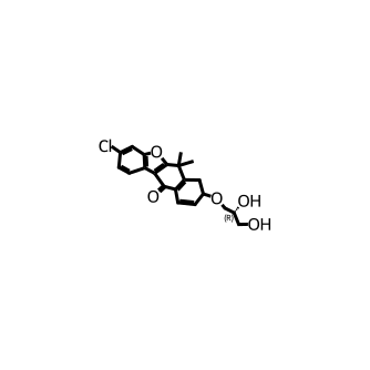 CC1(C)C2=C(C=CC(OC[C@H](O)CO)C2)C(=O)c2c1oc1cc(Cl)ccc21